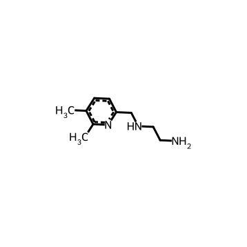 Cc1ccc(CNCCN)nc1C